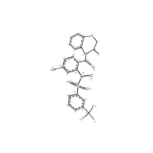 CC1COc2ccccc2N1C(=O)c1ncc(Cl)cc1N(Cl)S(=O)(=O)c1cccc(C(F)(F)F)c1